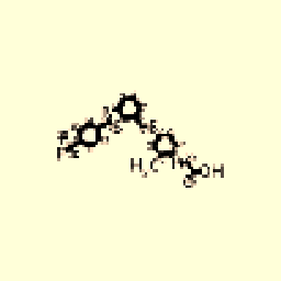 Cc1cc(SCc2cccc3nc(-c4ccc(C(F)(F)F)cc4)sc23)ccc1OCC(=O)O